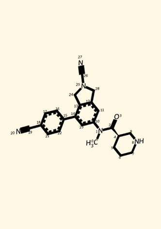 CN(C(=O)[C@@H]1CCCNC1)c1cc2c(c(-c3ccc(C#N)cc3)c1)CN(C#N)C2